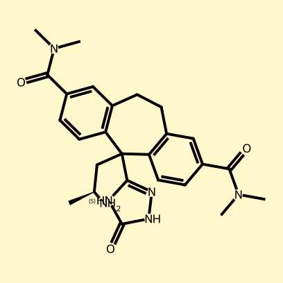 C[C@H](N)CC1(c2n[nH]c(=O)[nH]2)c2ccc(C(=O)N(C)C)cc2CCc2cc(C(=O)N(C)C)ccc21